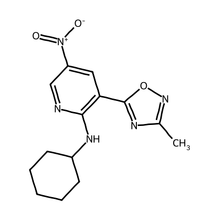 Cc1noc(-c2cc([N+](=O)[O-])cnc2NC2CCCCC2)n1